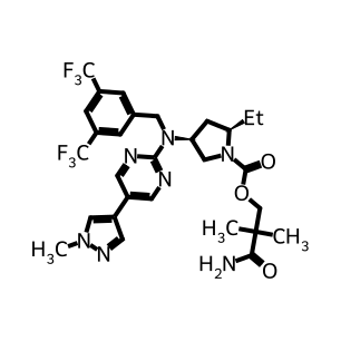 CC[C@@H]1C[C@H](N(Cc2cc(C(F)(F)F)cc(C(F)(F)F)c2)c2ncc(-c3cnn(C)c3)cn2)CN1C(=O)OCC(C)(C)C(N)=O